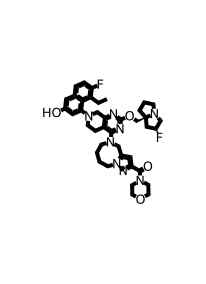 CCc1c(F)ccc2cc(O)cc(N3CCc4c(nc(OC[C@@]56CCCN5C[C@H](F)C6)nc4N4CCCCn5nc(C(=O)N6CCOCC6)cc5C4)C3)c12